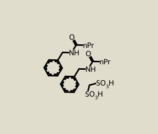 CCCC(=O)NCc1ccccc1.CCCC(=O)NCc1ccccc1.O=S(=O)(O)CS(=O)(=O)O